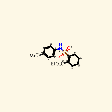 CCOC(=O)C1=C(S(=O)(=O)Nc2ccc(OC)cc2)CCCC1